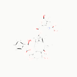 COC(=O)O[C@@]12CO[C@@H]1CC(O)[C@@]1(C)C(=O)[C@H](OC(C)=O)C3=C(C)[C@](C)(OC(=O)C4OC(=O)C(C)(C)[C@@H]4NC(=O)OC(C)(C)C)C[C@@](O)([C@@H](OC(=O)c4ccccc4)C12)C3(C)C